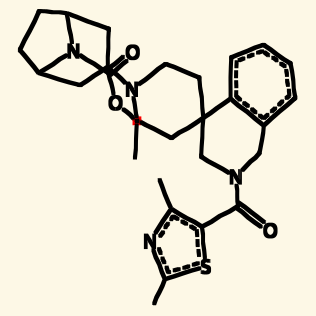 CCOC(=O)N1C2CCC1CC(N1CCC3(CC1)CN(C(=O)c1sc(C)nc1C)Cc1ccccc13)C2